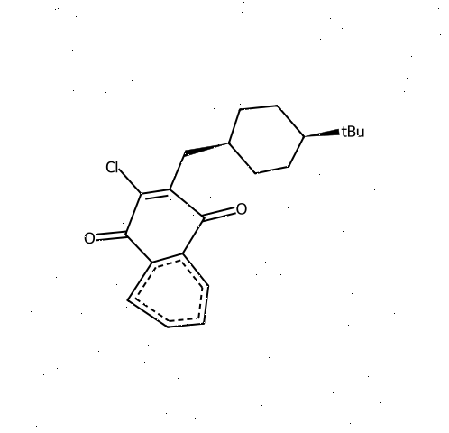 CC(C)(C)[C@H]1CC[C@@H](CC2=C(Cl)C(=O)c3ccccc3C2=O)CC1